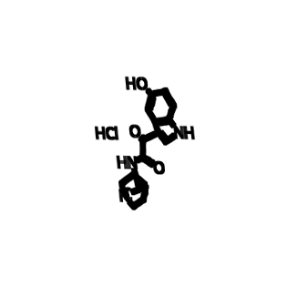 Cl.O=C(NC1CN2CCC1CC2)C(=O)c1c[nH]c2ccc(O)cc12